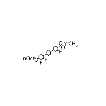 C=CC1COC(c2ccc(-c3ccc(-c4ccc(OCCCCCCCC)c(F)c4F)cc3)cc2F)OC1